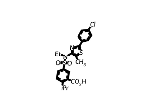 CCN(c1nc(-c2ccc(Cl)cc2)sc1C)S(=O)(=O)c1ccc(C(C)C)c(C(=O)O)c1